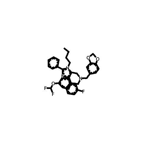 CCCCn1c(-c2ccccc2)nc(-c2cccc(F)c2)c1CN(Cc1ccc(OC(F)F)cc1)Cc1ccc2c(c1)OCO2